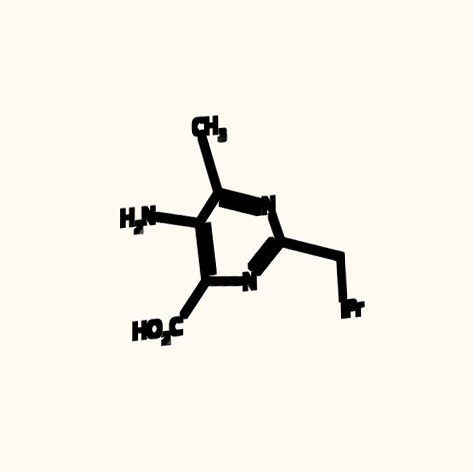 Cc1nc(CC(C)C)nc(C(=O)O)c1N